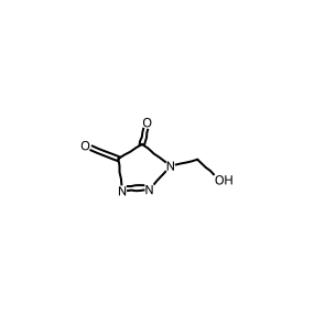 O=C1N=NN(CO)C1=O